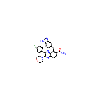 NC(=O)c1ccc2nc(N3CCOCC3)c(-c3ccc(F)cc3)nc2c1Cc1ccc2[nH]cnc2c1